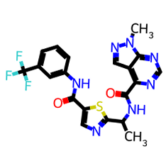 CC(NC(=O)c1ncnc2c1cnn2C)c1ncc(C(=O)Nc2cccc(C(F)(F)F)c2)s1